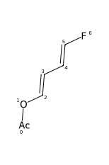 CC(=O)OC=CC=CF